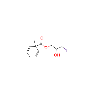 CC1(C(=O)OCC(O)CI)C=CCC=C1